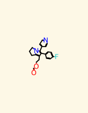 O=COCCc1c(-c2ccc(F)cc2)c(-c2ccncc2)n2c1CCC2